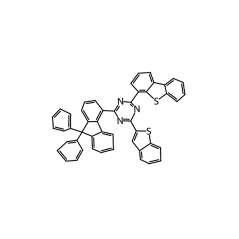 c1ccc(C2(c3ccccc3)c3ccccc3-c3c(-c4nc(-c5cc6ccccc6s5)nc(-c5cccc6c5sc5ccccc56)n4)cccc32)cc1